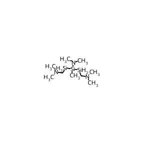 CN(C)C[SiH2][Si](C)([SiH2]CN(C)C)N(C)C